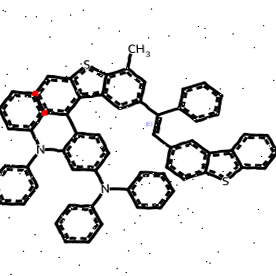 Cc1cc(/C(=C/c2ccc3sc4ccccc4c3c2)c2ccccc2)cc2c1sc1cccc(-c3ccc(N(c4ccccc4)c4ccccc4)cc3N(c3ccccc3)c3ccccc3)c12